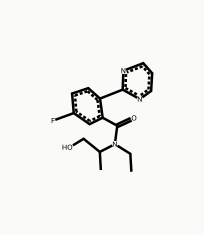 CCN(C(=O)c1cc(F)ccc1-c1ncccn1)C(C)CO